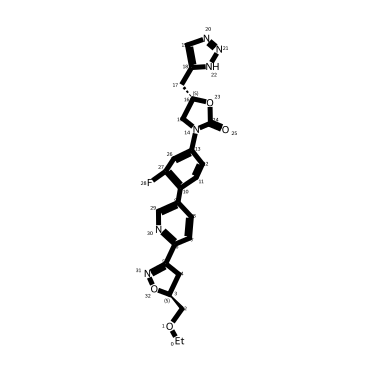 CCOC[C@@H]1CC(c2ccc(-c3ccc(N4C[C@H](Cc5cnn[nH]5)OC4=O)cc3F)cn2)=NO1